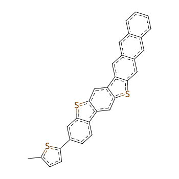 Cc1ccc(-c2ccc3c(c2)sc2cc4c(cc23)sc2cc3cc5ccccc5cc3cc24)s1